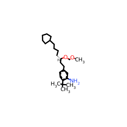 COCO[C@@H](CCCCC1CCCCC1)CCc1ccc(C(C)(C)C)c(N)c1